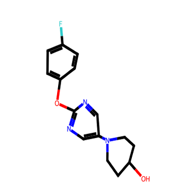 OC1CCN(c2cnc(Oc3ccc(F)cc3)nc2)CC1